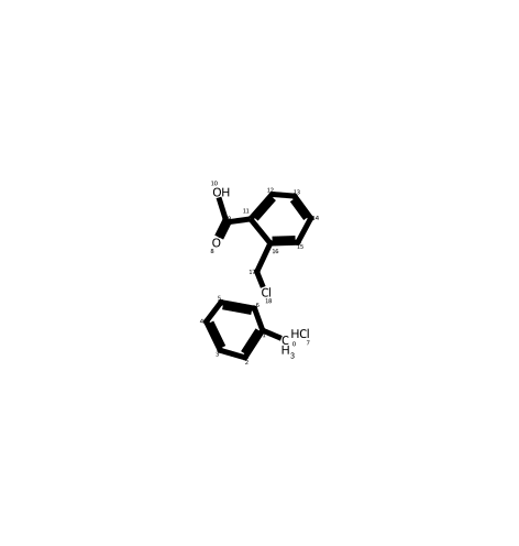 Cc1ccccc1.Cl.O=C(O)c1ccccc1CCl